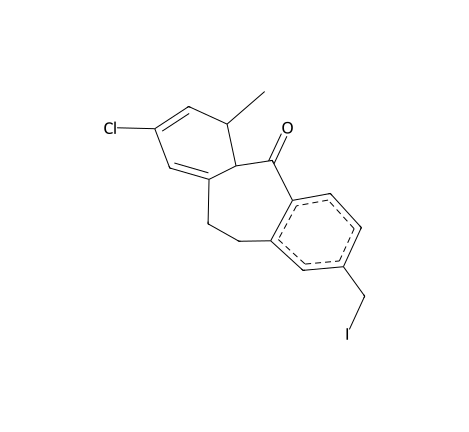 CC1C=C(Cl)C=C2CCc3cc(CI)ccc3C(=O)C21